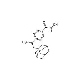 CN(CC12CC3CC(CC(C3)C1)C2)c1ncc(C(=O)NO)cn1